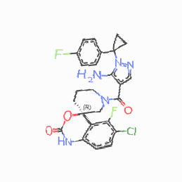 Nc1c(C(=O)N2CCC[C@@]3(C2)OC(=O)Nc2ccc(Cl)c(F)c23)cnn1C1(c2ccc(F)cc2)CC1